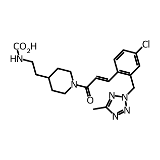 Cc1nnn(Cc2cc(Cl)ccc2C=CC(=O)N2CCC(CCNC(=O)O)CC2)n1